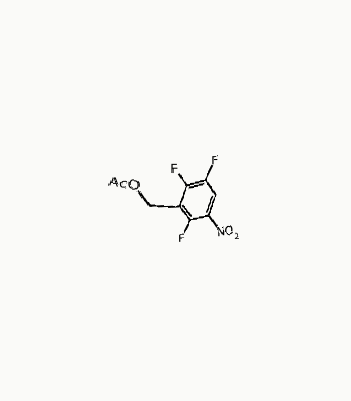 CC(=O)OCc1c(F)c(F)cc([N+](=O)[O-])c1F